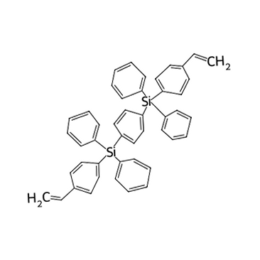 C=Cc1ccc([Si](c2ccccc2)(c2ccccc2)c2ccc([Si](c3ccccc3)(c3ccccc3)c3ccc(C=C)cc3)cc2)cc1